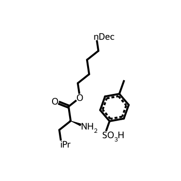 CCCCCCCCCCCCCCOC(=O)[C@@H](N)CC(C)C.Cc1ccc(S(=O)(=O)O)cc1